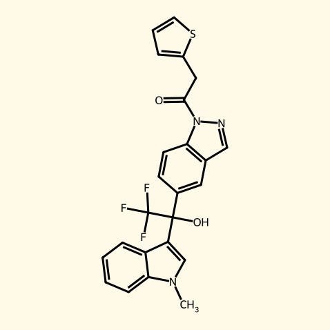 Cn1cc(C(O)(c2ccc3c(cnn3C(=O)Cc3cccs3)c2)C(F)(F)F)c2ccccc21